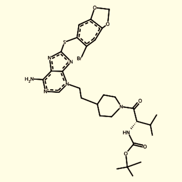 CC(C)[C@H](NC(=O)OC(C)(C)C)C(=O)N1CCC(CCn2cnc(N)c3nc(Sc4cc5c(cc4Br)OCO5)nc2-3)CC1